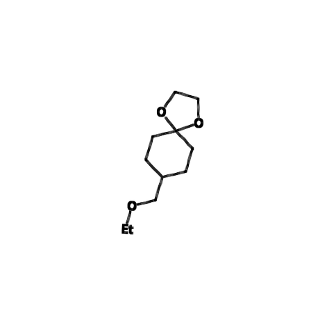 CCOCC1CCC2(CC1)OCCO2